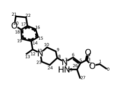 CCOC(=O)C1=CN(C2CCN(C(C)c3ccc4c(c3)OCC4)CC2)NC1C